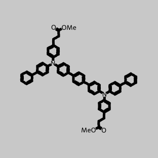 COC(=O)CCc1ccc(N(c2ccc(-c3ccccc3)cc2)c2ccc(-c3ccc(-c4ccc(N(c5ccc(CCC(=O)OC)cc5)c5ccc(-c6ccccc6)cc5)cc4)cc3)cc2)cc1